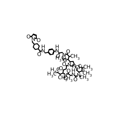 CCC(C)C(C(CC(=O)N1CCCC1C(OC)C(C)C(=O)NCC(=O)Nc1ccc(CNC(=O)C2CCC(CN3C(=O)C=CC3=O)CC2)cc1)OC)N(C)C(=O)CNC(=O)N(C)C(CC)C(C)C(C)C